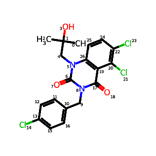 CC(C)(O)Cn1c(=O)n(Cc2ccc(Cl)cc2)c(=O)c2c(Cl)c(Cl)ccc21